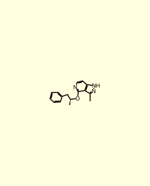 Cc1n[nH]c2ccnc(O[C@@H](C)Cc3ccccc3)c12